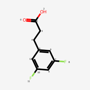 O=C(O)CCc1cc(F)cc(F)c1